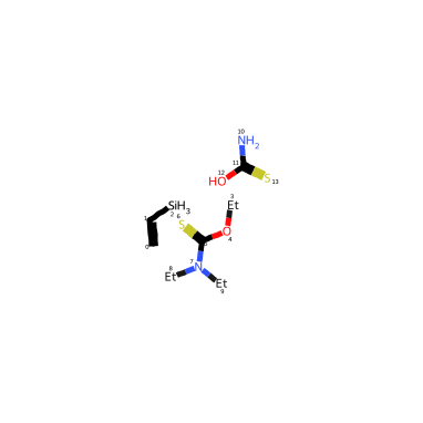 C=C[SiH3].CCOC(=S)N(CC)CC.NC(O)=S